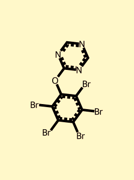 Brc1c(Br)c(Br)c(Oc2ncncn2)c(Br)c1Br